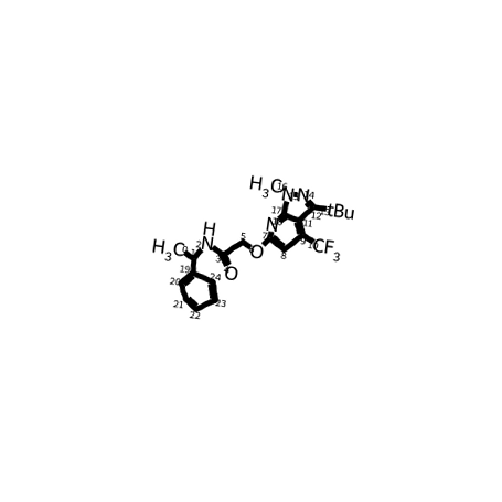 CC(NC(=O)COc1cc(C(F)(F)F)c2c(C(C)(C)C)nn(C)c2n1)c1ccccc1